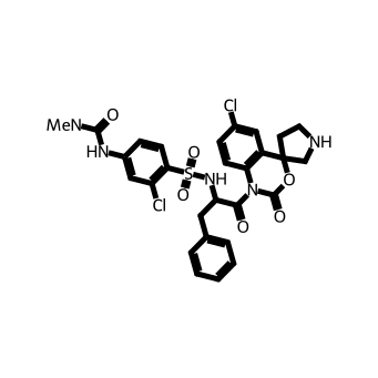 CNC(=O)Nc1ccc(S(=O)(=O)NC(Cc2ccccc2)C(=O)N2C(=O)OC3(CCNC3)c3cc(Cl)ccc32)c(Cl)c1